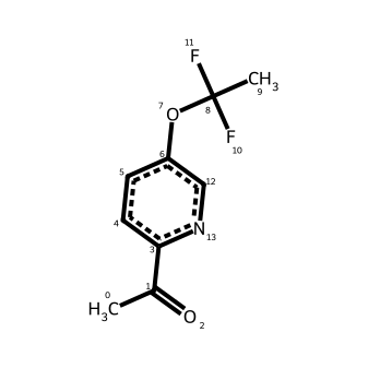 CC(=O)c1ccc(OC(C)(F)F)cn1